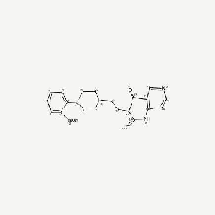 COc1ccccc1N1CCN(CCC2C(=O)Nc3ccncc3C2=O)CC1